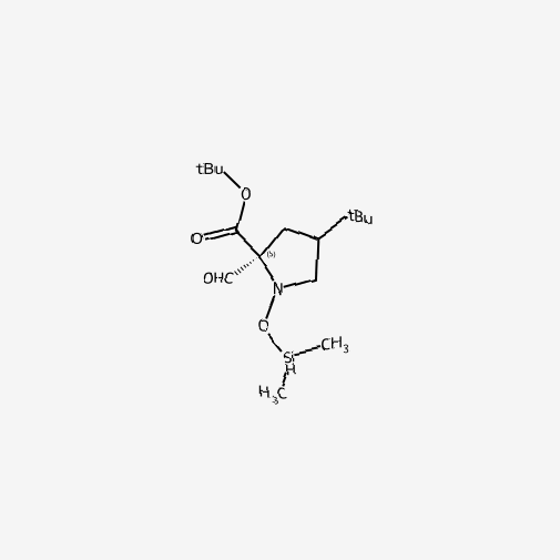 C[SiH](C)ON1CC(C(C)(C)C)C[C@]1(C=O)C(=O)OC(C)(C)C